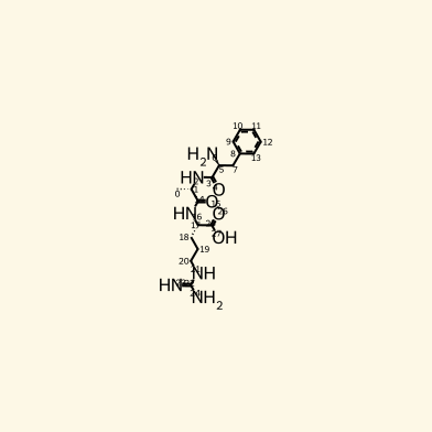 C[C@H](NC(=O)[C@@H](N)Cc1ccccc1)C(=O)N[C@@H](CCCNC(=N)N)C(=O)O